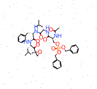 CC(=O)N[C@@H](COP(=O)(OCc1ccccc1)OCc1ccccc1)C(=O)N[C@@H](CC(C)C)C(=O)N[C@@H](Cc1ccccc1)C(=O)N[C@@H](CC(C)C)C(=O)[C@@]1(C)CO1